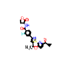 C[C@@H](Oc1ccc(C(=O)C2CC2)nc1)c1cc(-c2ccc(C(=O)N[C@H]3CCOC3=O)c(F)c2)ns1